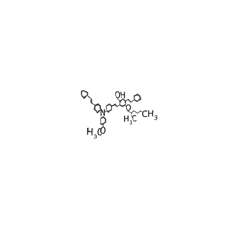 CCCCC(CC)COc1cc(C=Cc2ccc(N(c3ccc(C=Cc4ccccc4)cc3)c3ccc(OC)cc3)cc2)c(CO)cc1C=Cc1ccccc1